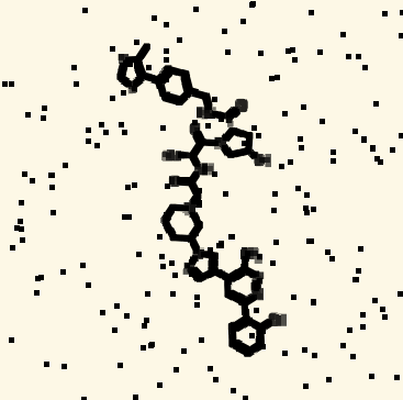 Cc1ncsc1-c1ccc(CNC(=O)[C@@H]2C[C@@H](O)CN2C(=O)[C@@H](NC(=O)CN2CCCC(n3cc(-c4cc(-c5ccccc5O)nnc4N)cn3)C2)C(C)(C)C)cc1